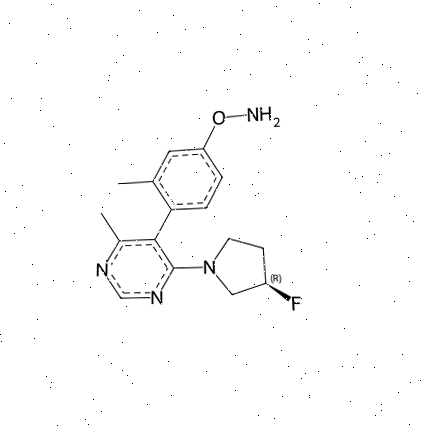 Cc1cc(ON)ccc1-c1c(C)ncnc1N1CC[C@@H](F)C1